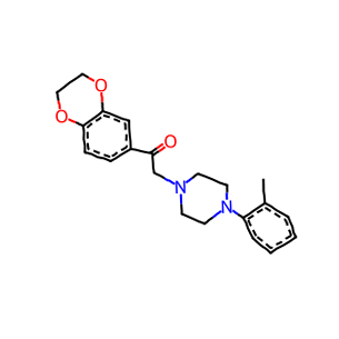 Cc1ccccc1N1CCN(CC(=O)c2ccc3c(c2)OCCO3)CC1